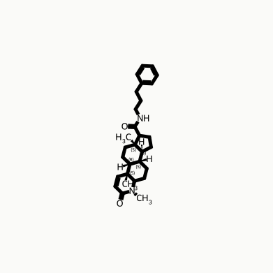 CN1C(=O)C=C[C@@]2(C)C1CC[C@@H]1[C@H]2CC[C@]2(C)C(C(=O)NCCCc3ccccc3)CC[C@@H]12